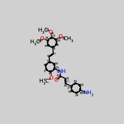 COc1ccc(C=Cc2cc(OC)c(OC)c(OC)c2)cc1NC(=O)/C=C/c1ccc(N)cc1